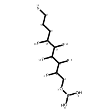 OB(O)OCC(F)C(F)C(F)C(F)C(F)CCCF